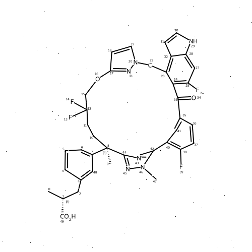 C[C@H](Cc1cccc([C@@]2(C)CCC(F)(F)COc3ccn(n3)Cc3c(c(F)cc4[nH]ccc34)C(=O)c3ccc(F)c(c3)-c3nc2nn3C)c1)C(=O)O